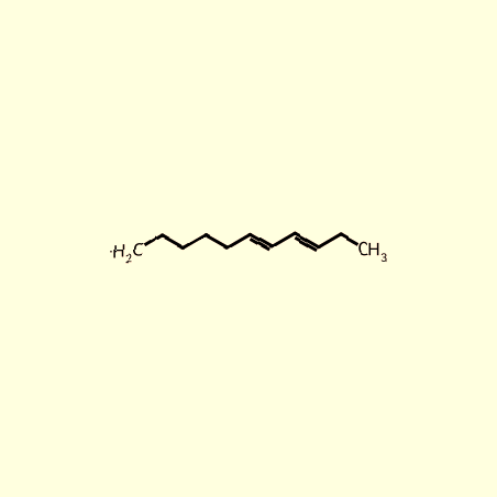 [CH2]CCCCC=CC=CCC